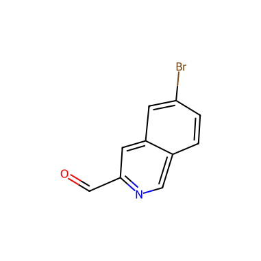 O=Cc1cc2cc(Br)ccc2cn1